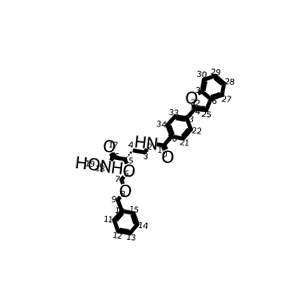 O=C(NCC[C@H](OCOCc1ccccc1)C(=O)NO)c1ccc(-c2cc3ccccc3o2)cc1